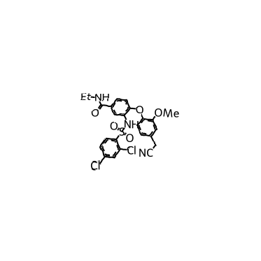 CCNC(=O)c1ccc(Oc2ccc(CC#N)cc2OC)c(NS(=O)(=O)c2ccc(Cl)cc2Cl)c1